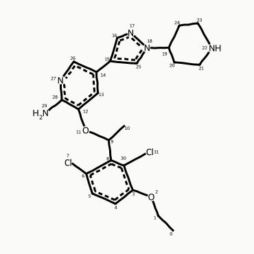 CCOc1ccc(Cl)c(C(C)Oc2cc(-c3cnn(C4CCNCC4)c3)cnc2N)c1Cl